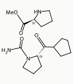 COC(=O)[C@@H]1CCCN1.NC(=O)N1CCC[C@H]1C(=O)C1CCCC1